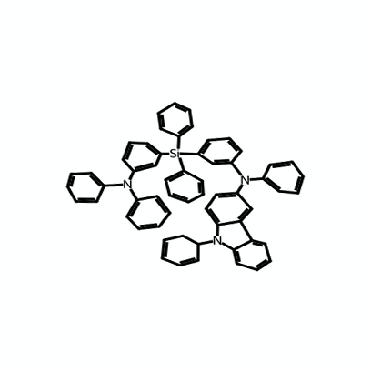 C1=CCC(n2c3ccccc3c3cc(N(c4ccccc4)c4cccc([Si](c5ccccc5)(c5ccccc5)c5cccc(N(c6ccccc6)c6ccccc6)c5)c4)ccc32)C=C1